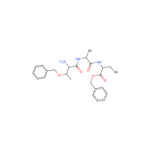 CC(C)CC(NC(=O)C(NC(=O)C(N)C(C)OCc1ccccc1)C(C)C)C(=O)OCc1ccccc1